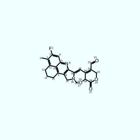 Cc1c(F)cc2nc3c(c4c2c1CCC4)CN(C)/C3=C\C1=C(C=O)COC(=O)C1O